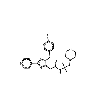 CC(C)(CN1CCOCC1)NC(=O)Cn1nc(-c2ccnnc2)cc1Cc1ccc(F)cc1